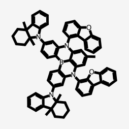 Cc1cc2c3c(c1)N(c1cccc4oc5ccccc5c14)c1cc(N4c5ccccc5C5(C)CCCCC45C)ccc1B3c1ccc(N3c4ccccc4C4(C)CCCCC34C)cc1N2c1cccc2c1oc1ccccc12